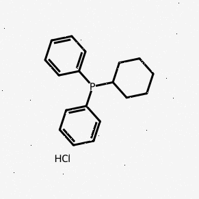 Cl.c1ccc(P(c2ccccc2)C2CCCCC2)cc1